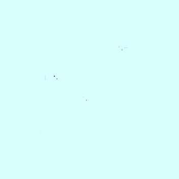 NCc1ccccc1N(CCO)C(N)=S